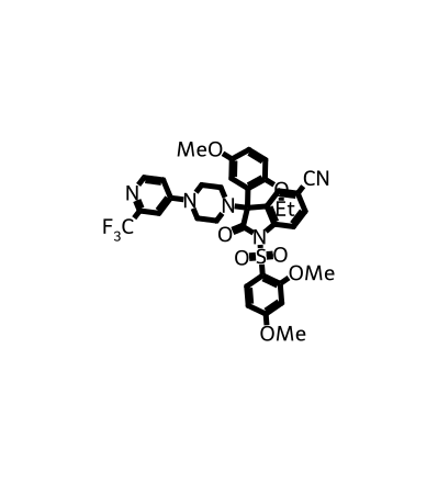 CCOc1ccc(OC)cc1C1(N2CCN(c3ccnc(C(F)(F)F)c3)CC2)C(=O)N(S(=O)(=O)c2ccc(OC)cc2OC)c2ccc(C#N)cc21